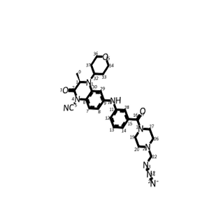 C[C@@H]1C(=O)N(C#N)c2ccc(Nc3cccc(C(=O)N4CCN(CN=[N+]=[N-])CC4)c3)cc2N1C1CCOCC1